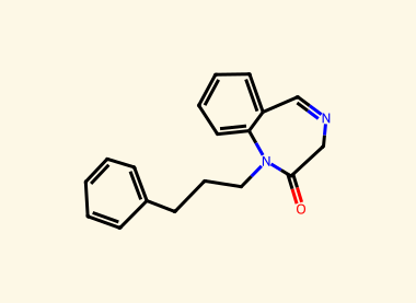 O=C1CN=Cc2ccccc2N1CCCc1ccccc1